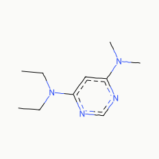 CCN(CC)c1cc(N(C)C)ncn1